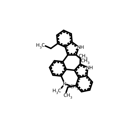 CCc1cccc2[nH]c(C)c(-c3[c]ccc(N(C)C)c3-c3c(C)[nH]c4cccc(CC)c34)c12